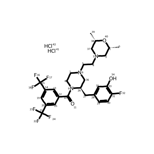 C[C@@H]1CN(CCN2CCN(C(=O)c3cc(C(F)(F)F)cc(C(F)(F)F)c3)[C@H](Cc3ccc(F)c(O)c3)C2)C[C@H](C)O1.Cl.Cl